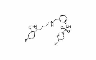 O=S(=O)(Nc1cccc(CNCCCCc2noc3cc(F)ccc23)c1)c1ccc(Br)cc1